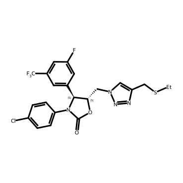 CCSCc1cn(C[C@@H]2OC(=O)N(c3ccc(Cl)cc3)[C@H]2c2cc(F)cc(C(F)(F)F)c2)nn1